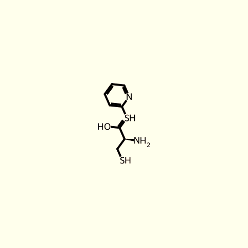 N[C@@H](CS)C(O)=[SH]c1ccccn1